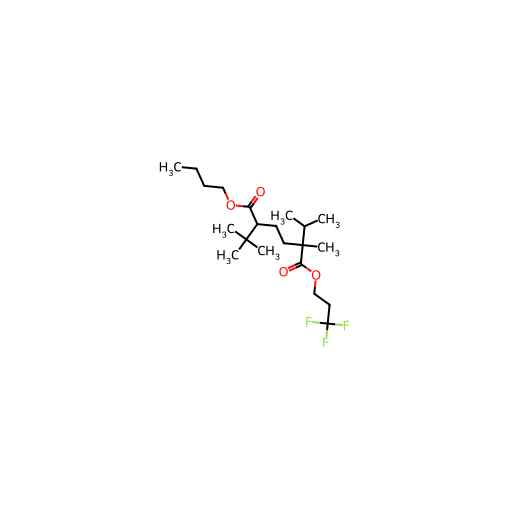 CCCCOC(=O)C(CCC(C)(C(=O)OCCC(F)(F)F)C(C)C)C(C)(C)C